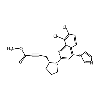 COC(=O)C#CC[C@@H]1CCCN1c1cc(-n2ccnc2)c2ccc(Cl)c(Cl)c2n1